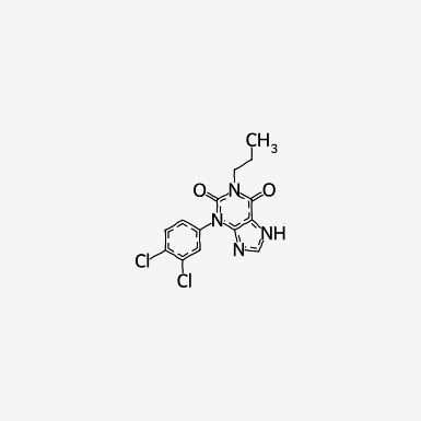 CCCn1c(=O)c2[nH]cnc2n(-c2ccc(Cl)c(Cl)c2)c1=O